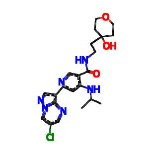 CC(C)Nc1cc(-c2cnn3cc(Cl)cnc23)ncc1C(=O)NCCC1(O)CCOCC1